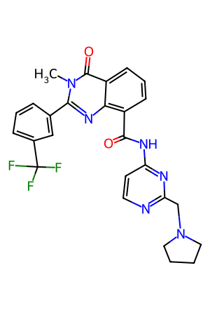 Cn1c(-c2cccc(C(F)(F)F)c2)nc2c(C(=O)Nc3ccnc(CN4CCCC4)n3)cccc2c1=O